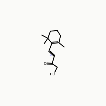 CC1=C(/C=C/C(=O)CO)C(C)(C)CCC1